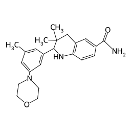 Cc1cc(C2Nc3ccc(C(N)=O)cc3CC2(C)C)cc(N2CCOCC2)c1